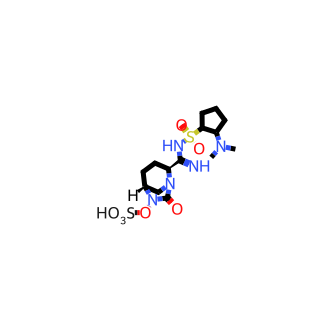 CN(C)C1CCCC1S(=O)(=O)NC(=N)[C@@H]1CC[C@@H]2CN1C(=O)N2OS(=O)(=O)O